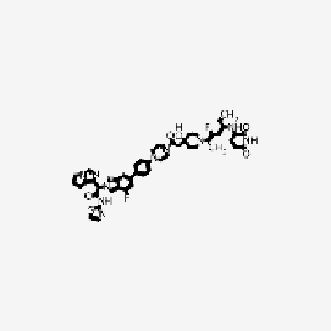 C=C/C(=C\C(F)=C(/C)N1CCC(O)(CC(=O)N2CCN(c3ccc(-c4cc(F)c5cn(C(C(=O)Nc6nccs6)c6ncn7c6CCC7)nc5c4)cc3)CC2)CC1)NC1CCC(=O)NC1=O